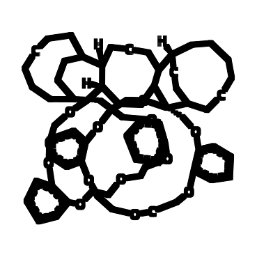 c1ccc2c(c1)OCCOCCOc1ccccc1OC[C@@]1(OCCO2)C2CCCCCC[C@H](CC2)C2CCC[C@H]3C4CCCCCCC(CC4)[C@@]4(CCOc5ccccc5OCCOCCOc5ccccc5OCCO4)[C@H]3CCC21